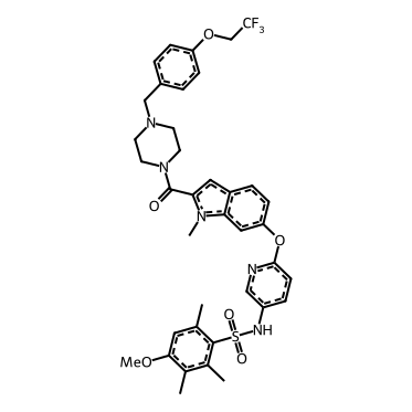 COc1cc(C)c(S(=O)(=O)Nc2ccc(Oc3ccc4cc(C(=O)N5CCN(Cc6ccc(OCC(F)(F)F)cc6)CC5)n(C)c4c3)nc2)c(C)c1C